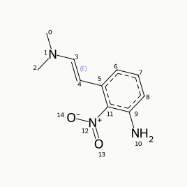 CN(C)/C=C/c1cccc(N)c1[N+](=O)[O-]